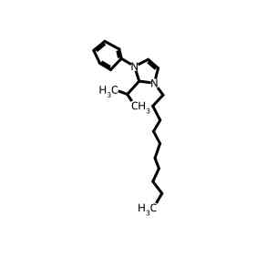 CCCCCCCCCCN1C=CN(c2ccccc2)C1C(C)C